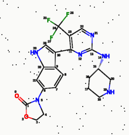 O=C1OCCN1c1ccc2c(-c3nc(N[C@H]4CCCNC4)ncc3C(F)(F)F)c[nH]c2c1